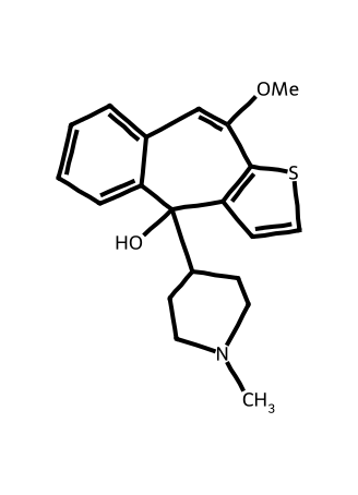 COC1=Cc2ccccc2C(O)(C2CCN(C)CC2)c2ccsc21